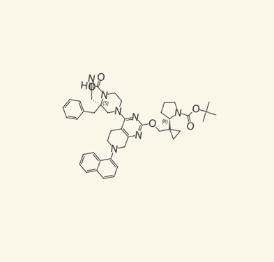 CC(C)(C)OC(=O)N1CCC[C@@H]1C1(COc2nc3c(c(N4CCN(C(=O)O)[C@](CC#N)(Cc5ccccc5)C4)n2)CCN(c2cccc4ccccc24)C3)CC1